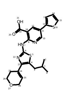 CC(C)Cc1sc(Nc2ncc(-c3cccs3)cc2C(=O)O)nc1C1=CCOCC1